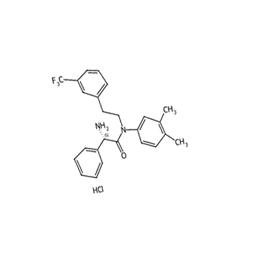 Cc1ccc(N(CCc2cccc(C(F)(F)F)c2)C(=O)[C@@H](N)c2ccccc2)cc1C.Cl